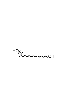 CC(C=CC=CC=CC=CC=CC=CCO)=C(C)C(C)(C)O